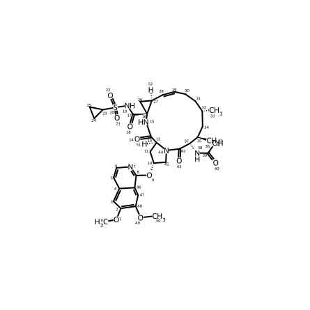 COc1cc2ccnc(O[C@@H]3C[C@H]4C(=O)N[C@]5(C(=O)NS(=O)(=O)C6CC6)C[C@H]5/C=C\CC[C@H](C)C[C@@H](C)[C@H](NC(=O)O)C(=O)N4C3)c2cc1OC